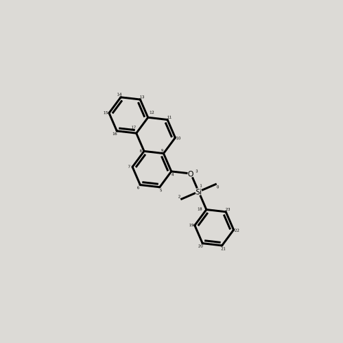 C[Si](C)(Oc1cccc2c1ccc1ccccc12)c1ccccc1